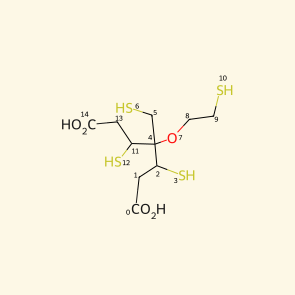 O=C(O)CC(S)C(CS)(OCCS)C(S)CC(=O)O